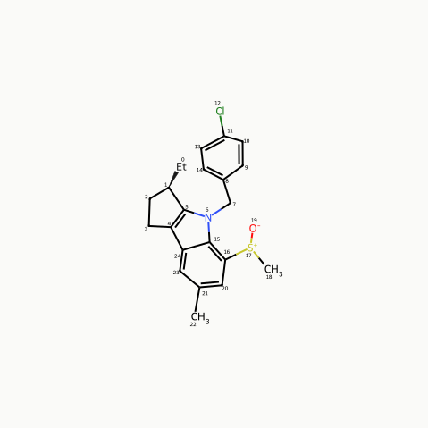 CC[C@@H]1CCc2c1n(Cc1ccc(Cl)cc1)c1c([S+](C)[O-])cc(C)cc21